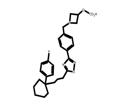 O=C(O)OC1CN(Cc2ccc(-c3noc(CCCC4(c5ccc(F)cc5)CCCCC4)n3)cc2)C1